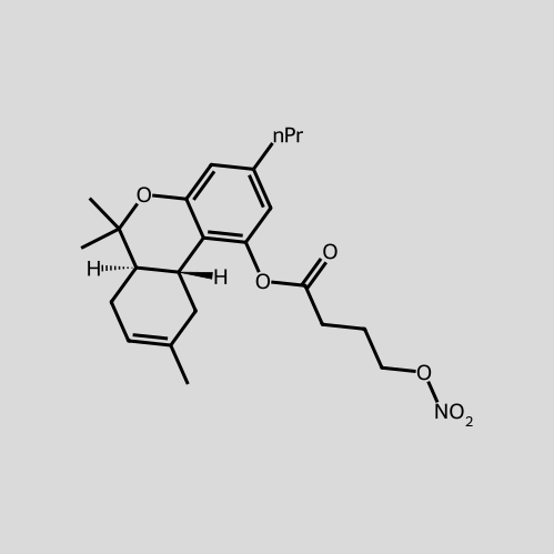 CCCc1cc(OC(=O)CCCO[N+](=O)[O-])c2c(c1)OC(C)(C)[C@@H]1CC=C(C)C[C@@H]21